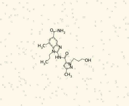 CCCn1c(NC(=O)c2cc(C)nn2CCCO)nc2cc(C(N)=O)cc(C)c21